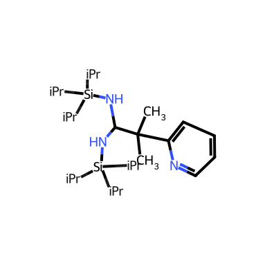 CC(C)[Si](NC(N[Si](C(C)C)(C(C)C)C(C)C)C(C)(C)c1ccccn1)(C(C)C)C(C)C